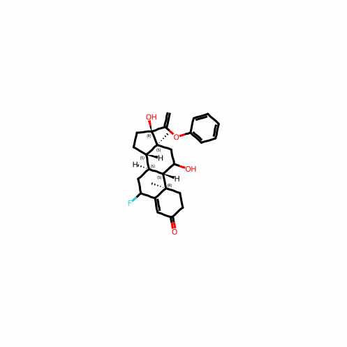 C=C(Oc1ccccc1)[C@@]1(O)CC[C@H]2[C@@H]3CC(F)C4=CC(=O)CC[C@]4(C)[C@H]3C(O)C[C@@]21C